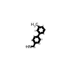 Cc1cccc(-c2ccc(C[NH])cc2)c1